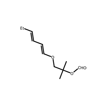 CCC=CC=COCC(C)(C)O[C]=O